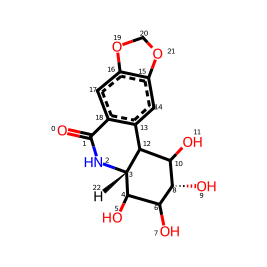 O=C1N[C@H]2C(O)C(O)[C@@H](O)C(O)C2c2cc3c(cc21)OCO3